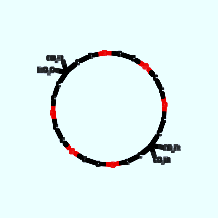 CCOC(=O)C1(C(=O)OCC)CCOCCOCCOCCC(C(=O)OCC)(C(=O)OCC)CCOCCOCCOCC1